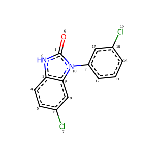 O=c1[nH]c2ccc(Cl)cc2n1-c1cccc(Cl)c1